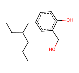 CCCC(C)CC.OCc1ccccc1O